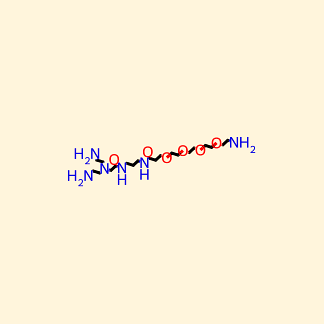 NCCOCCOCCOCCOCCC(=O)NCCCNC(=O)CN(CCN)CCN